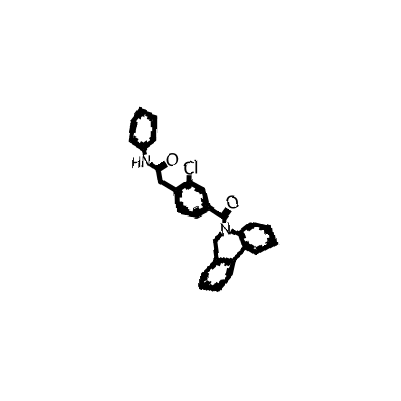 O=C(Cc1ccc(C(=O)N2Cc3ccccc3-c3ccccc32)cc1Cl)Nc1ccccc1